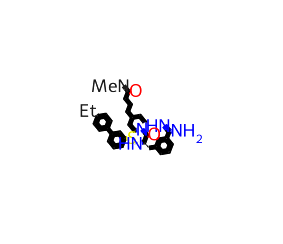 CCc1ccc(-c2cccc(SN[C@@H](Cc3cccc(C(=N)N)c3)C(=O)N3CCC(CCCC(=O)NC)CC3)c2)cc1